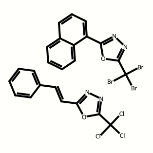 BrC(Br)(Br)c1nnc(-c2cccc3ccccc23)o1.ClC(Cl)(Cl)c1nnc(C=Cc2ccccc2)o1